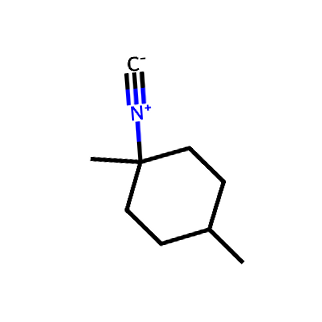 [C-]#[N+]C1(C)CCC(C)CC1